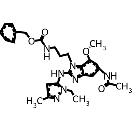 CCn1nc(C)cc1Nc1nc2cc(NC(C)=O)cc(OC)c2n1CCCNC(=O)OCc1ccccc1